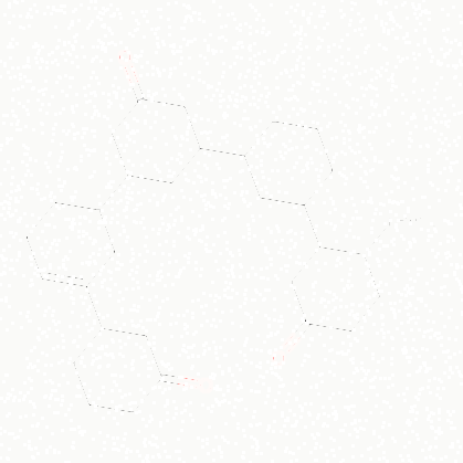 CCCCCC1CCC(=O)CC1C1CCCC(C2CC(=O)CC(C3CCC=C(C4CCCC(=O)C4)C3)C2)C1